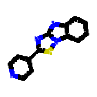 c1ccc2c(c1)nc1nc(-c3ccncc3)sn12